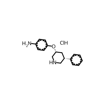 Cl.Nc1ccc(O[C@H]2CNC[C@@H](c3ccccc3)C2)cc1